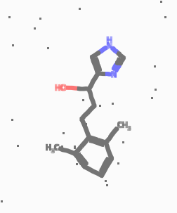 Cc1cccc(C)c1CCC(O)c1c[nH]cn1